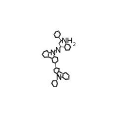 N/C(=C\C(=N/Cn1c2ccccc2c2cc(-c3ccc4c(c3)c3ccccc3n4-c3ccccc3)ccc21)c1ccccc1)c1ccccc1